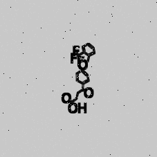 O=C(O)CCC(=O)c1ccc(OCc2ccccc2C(F)(F)F)cc1